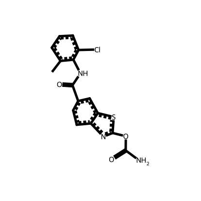 Cc1cccc(Cl)c1NC(=O)c1ccc2nc(OC(N)=O)sc2c1